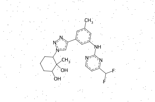 Cc1cc(Nc2nccc(C(F)F)n2)cc(-c2cn(C3CCCC(O)C3(C)O)nn2)c1